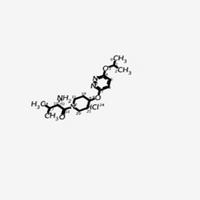 CC(C)Oc1ccc(OC2CCN(C(=O)[C@@H](N)C(C)C)CC2)nn1.Cl